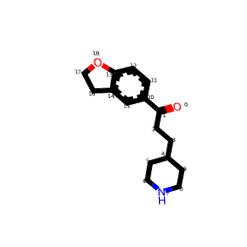 O=C(CCC1CCNCC1)c1ccc2c(c1)CCO2